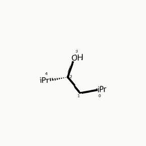 CC(C)C[C@@H](O)C(C)C